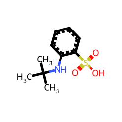 CC(C)(C)Nc1ccccc1S(=O)(=O)O